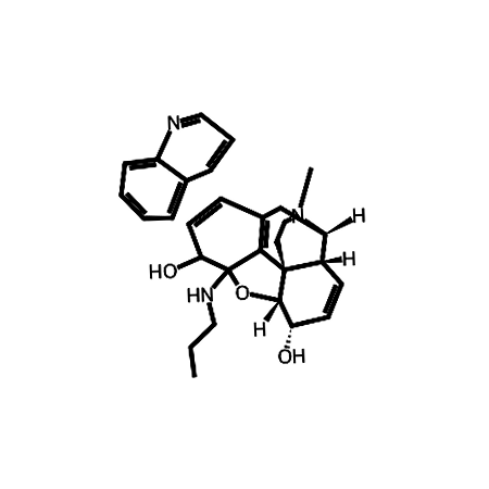 CCCNC12O[C@H]3[C@@H](O)C=C[C@H]4[C@H]5CC(=C1[C@]43CCN5C)C=CC2O.c1ccc2ncccc2c1